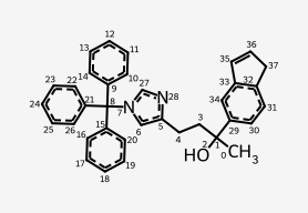 CC(O)(CCc1cn(C(c2ccccc2)(c2ccccc2)c2ccccc2)cn1)c1ccc2c(c1)C=CC2